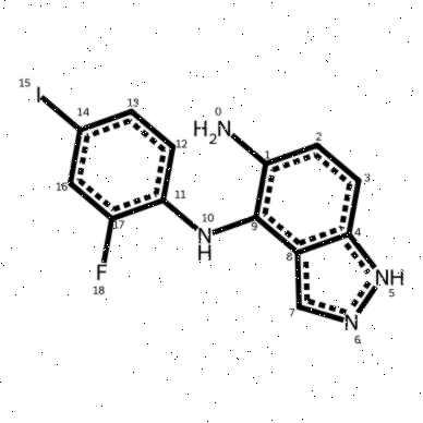 Nc1ccc2[nH]ncc2c1Nc1ccc(I)cc1F